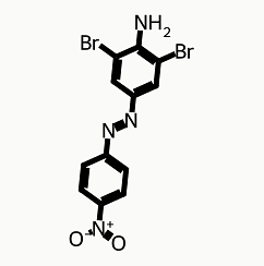 Nc1c(Br)cc(N=Nc2ccc([N+](=O)[O-])cc2)cc1Br